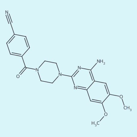 COc1cc2nc(N3CCN(C(=O)c4ccc(C#N)cc4)CC3)nc(N)c2cc1OC